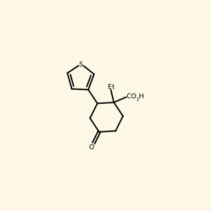 CCC1(C(=O)O)CCC(=O)CC1c1ccsc1